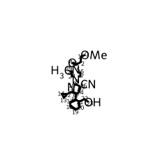 COCCC(=O)N1CCN(c2nc(C3CC3)c(-c3ccccc3CO)cc2C#N)C[C@H]1C